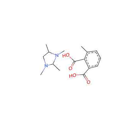 CC1CN(C)C(C)N1C.Cc1cccc(C(=O)O)c1C(=O)O